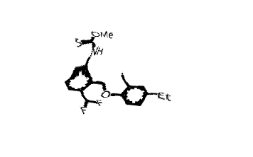 CCc1ccc(OCc2c(NC(=S)OC)cccc2C(F)F)c(C)c1